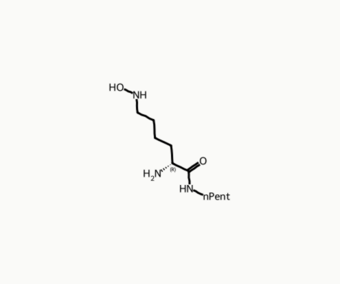 CCCCCNC(=O)[C@H](N)CCCCNO